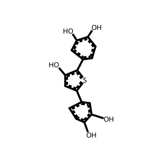 Oc1ccc(-c2cc(O)c(-c3ccc(O)c(O)c3)s2)cc1O